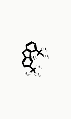 CC(C)(C)c1ccc2c(c1)-c1c(cccc1C(C)(C)C)[CH]2